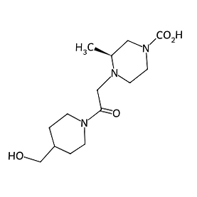 C[C@H]1CN(C(=O)O)CCN1CC(=O)N1CCC(CO)CC1